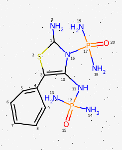 NC1SC(c2ccccc2)=C(NP(N)(N)=O)N1P(N)(N)=O